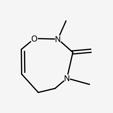 C=C1N(C)CC/C=C\ON1C